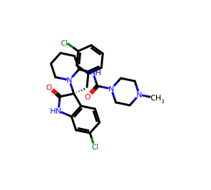 CN1CCN(C(=O)NC2CCCCN2[C@]2(Cc3cccc(Cl)c3)C(=O)Nc3cc(Cl)ccc32)CC1